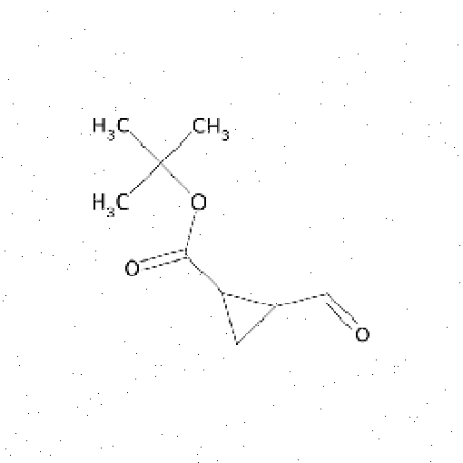 CC(C)(C)OC(=O)C1CC1C=O